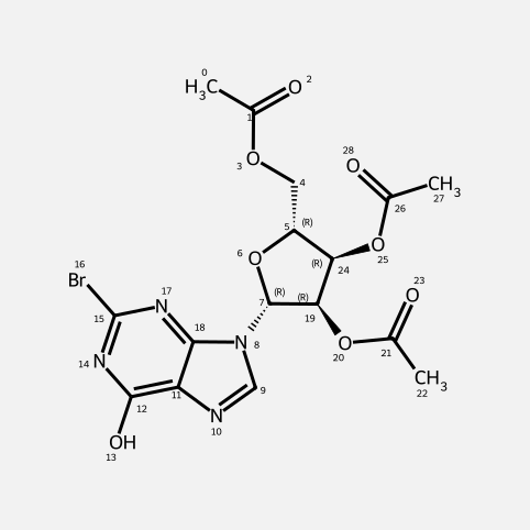 CC(=O)OC[C@H]1O[C@@H](n2cnc3c(O)nc(Br)nc32)[C@H](OC(C)=O)[C@@H]1OC(C)=O